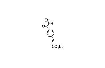 CCNC(=O)c1ccc(/C=C/C(=O)OCC)cc1